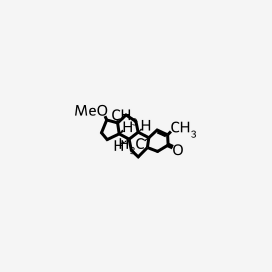 COC1CC[C@H]2[C@@H]3CCC4CC(=O)C(C)=C[C@]4(C)[C@@H]3CC[C@]12C